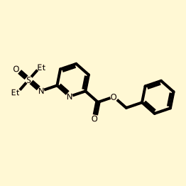 CCS(=O)(CC)=Nc1cccc(C(=O)OCc2ccccc2)n1